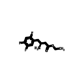 CCOC(=O)C[C@@H](N)Cc1cc(F)c(F)cc1F